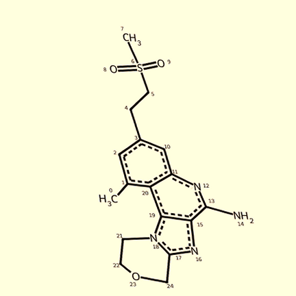 Cc1cc(CCS(C)(=O)=O)cc2nc(N)c3nc4n(c3c12)CCOC4